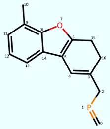 C=PCC1=Cc2c(oc3c(C)cccc23)CC1